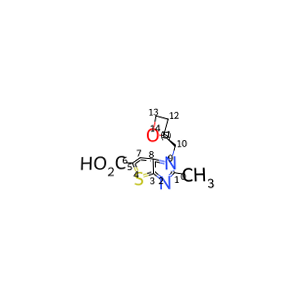 Cc1nc2sc(C(=O)O)cc2n1C[C@@H]1CCO1